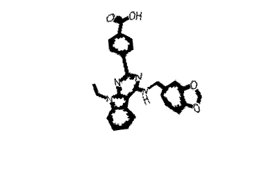 CCn1c2ccccc2c2c(NCc3ccc4c(c3)OCO4)nc(-c3ccc(C(=O)O)cc3)nc21